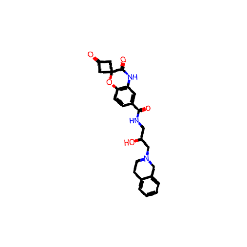 O=C1CC2(C1)Oc1ccc(C(=O)NCC(O)CN3CCc4ccccc4C3)cc1NC2=O